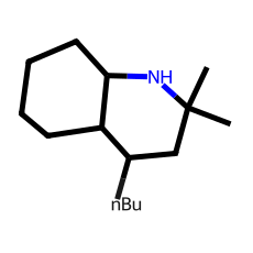 CCCCC1CC(C)(C)NC2CCCCC12